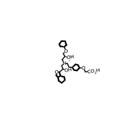 C[C@H](Cc1ccc(OCC(=O)O)cc1)N(CC(O)c1occ2ccccc12)C[C@H](O)COc1ccccc1